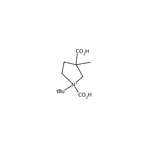 CC1(C(=O)O)CC[N+](C(=O)O)(C(C)(C)C)C1